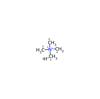 C[N+](C)(C)C.[H+]